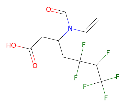 C=CN(C=O)C(CC(=O)O)CC(F)(F)C(F)C(F)(F)F